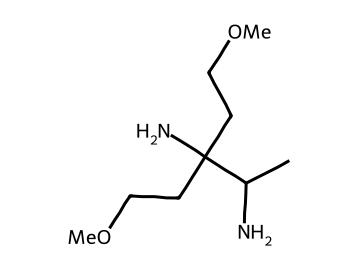 COCCC(N)(CCOC)C(C)N